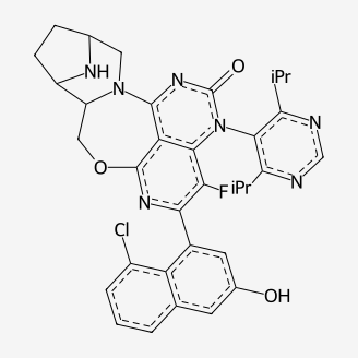 CC(C)c1ncnc(C(C)C)c1-n1c(=O)nc2c3c(nc(-c4cc(O)cc5cccc(Cl)c45)c(F)c31)OCC1C3CCC(CN21)N3